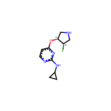 F[C@@H]1CNC[C@@H]1Oc1ccnc(NC2CC2)n1